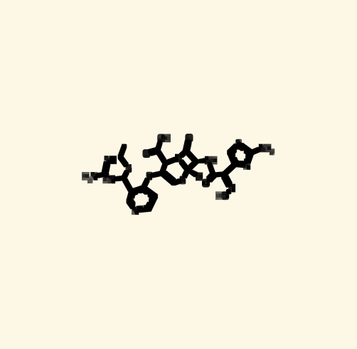 CCSC(NC(=N)N)c1cnccc1SC1=CS[C@H]2[C@H](NC(=O)/C(=N\O)c3csc(N)n3)C(=O)N2C1C(=O)O